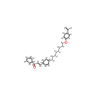 C=C(C)c1ccc(OCCCCCCCCc2ccc(C=CC(=O)c3ccccc3)cc2)cc1